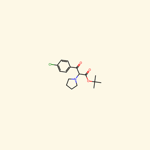 CC(C)(C)OC(=O)C(C(=O)c1ccc(Cl)cc1)N1CCCC1